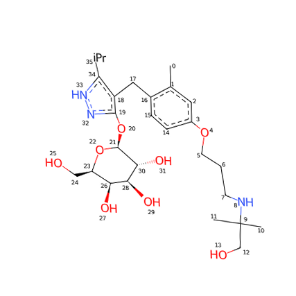 Cc1cc(OCCCNC(C)(C)CO)ccc1Cc1c(O[C@@H]2O[C@H](CO)[C@H](O)[C@H](O)[C@H]2O)n[nH]c1C(C)C